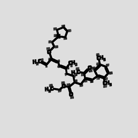 C=C/C(=C\C=C(/C)CCC(C/C(=C/c1cc(C)ccc1C)C(C)=O)C(=O)OCC)OCCN1CCCC1